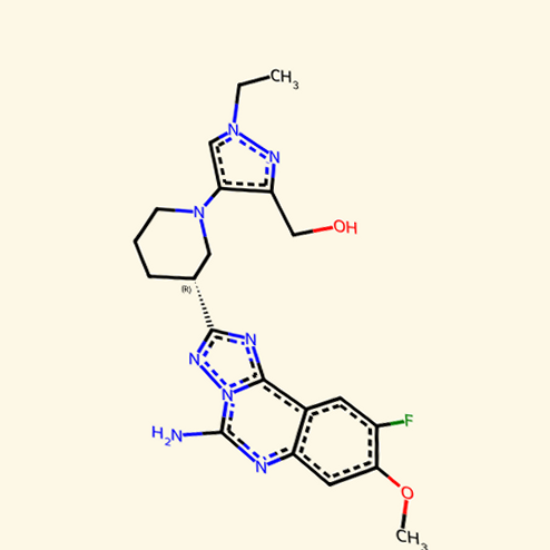 CCn1cc(N2CCC[C@@H](c3nc4c5cc(F)c(OC)cc5nc(N)n4n3)C2)c(CO)n1